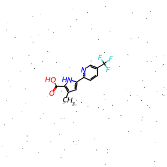 Cc1cc(-c2ccc(C(F)(F)F)cn2)[nH]c1C(=O)O